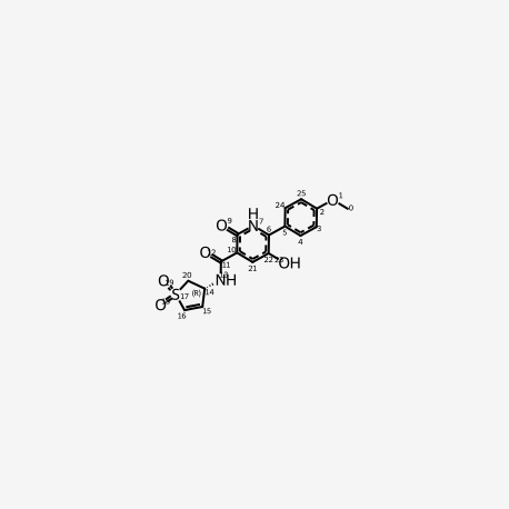 COc1ccc(-c2[nH]c(=O)c(C(=O)N[C@@H]3C=CS(=O)(=O)C3)cc2O)cc1